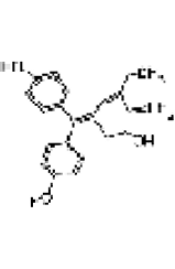 C=C/C(=C\C(CCO)=C(/c1ccc(O)cc1)c1ccc(OI)cc1)CC